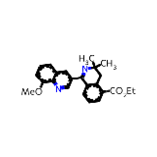 CCOC(=O)c1cccc2c1CC(C)(C)N=C2c1cnc2c(OC)cccc2c1